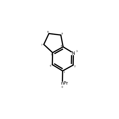 CCCc1cnc2c(c1)CCC2